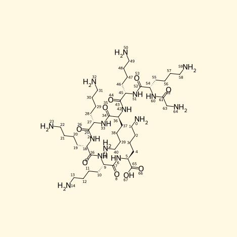 NCCCC[C@H](NC(=O)[C@H](CCCCN)NC(=O)[C@H](CCCCN)NC(=O)[C@H](CCCCN)NC(=O)[C@H](CCCCN)NC(=O)[C@H](CCCCN)NC(=O)[C@H](CCCCN)NC(=O)CN)C(=O)O